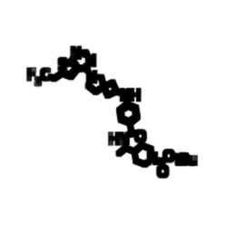 CC(NC(=O)c1ccc(NC2CC3(CCN(c4ncnc5sc(CC(F)(F)F)cc45)C3)C2)cc1)C1CCN(C(=O)OC(C)(C)C)CC1